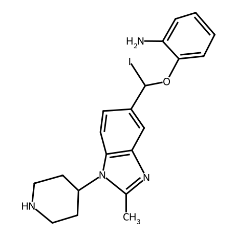 Cc1nc2cc(C(I)Oc3ccccc3N)ccc2n1C1CCNCC1